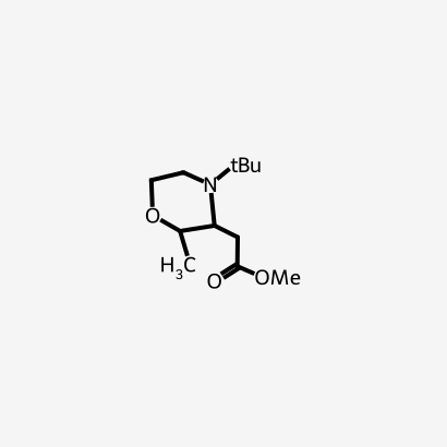 COC(=O)CC1C(C)OCCN1C(C)(C)C